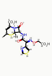 CC1C=C(C(=O)O)N2C(=O)C(NC(=O)C(=NOCC(=O)O)c3cscn3)[C@@H]2S1